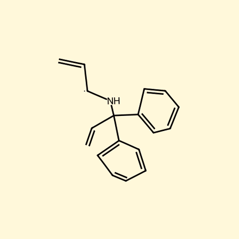 C=C[CH]NC(C=C)(c1ccccc1)c1ccccc1